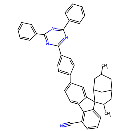 CC1CC2CC(C)C3(c4cc(-c5ccc(-c6nc(-c7ccccc7)nc(-c7ccccc7)n6)cc5)ccc4-c4c(C#N)cccc43)C(C1)C2